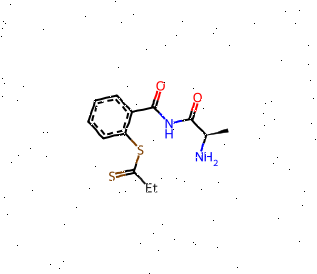 CCC(=S)Sc1ccccc1C(=O)NC(=O)[C@@H](C)N